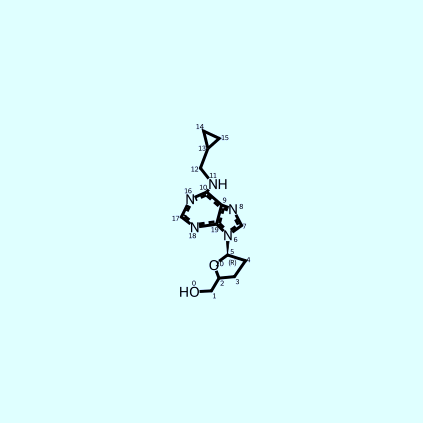 OCC1CC[C@H](n2cnc3c(NCC4CC4)ncnc32)O1